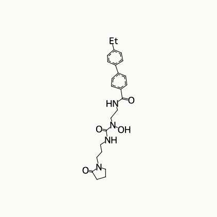 CCc1ccc(-c2ccc(C(=O)NCCN(O)C(=O)NCCCN3CCCC3=O)cc2)cc1